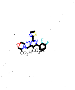 CCOC(=O)C1=C(CN2CCOCC2C(=O)O)NC(c2nccs2)=NC1c1cccc(F)c1F